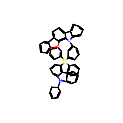 C1=CCC(n2c3ccccc3c3c(S(c4ccccc4)(c4ccccc4)c4cccc(-n5c6ccccc6c6ccc7c8ccccc8oc7c65)c4)cccc32)C=C1